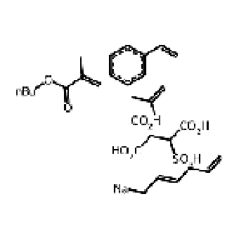 C=C(C)C(=O)O.C=C(C)C(=O)OCCCC.C=CCC=C[CH2][Na].C=Cc1ccccc1.O=C(O)CC(C(=O)O)S(=O)(=O)O